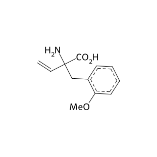 C=CC(N)(Cc1ccccc1OC)C(=O)O